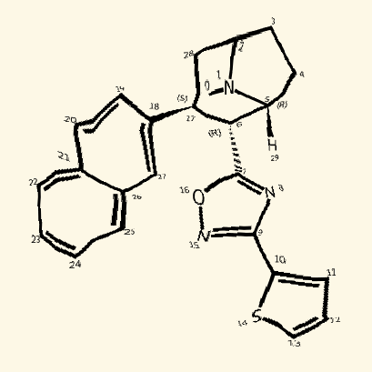 CN1C2CC[C@@H]1[C@H](c1nc(-c3cccs3)no1)[C@@H](c1ccc3ccccc3c1)C2